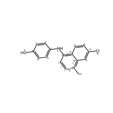 C\C=C/C(Nc1ccc(O)cc1)=C1/C=CC(Cl)=C/C1=N\C